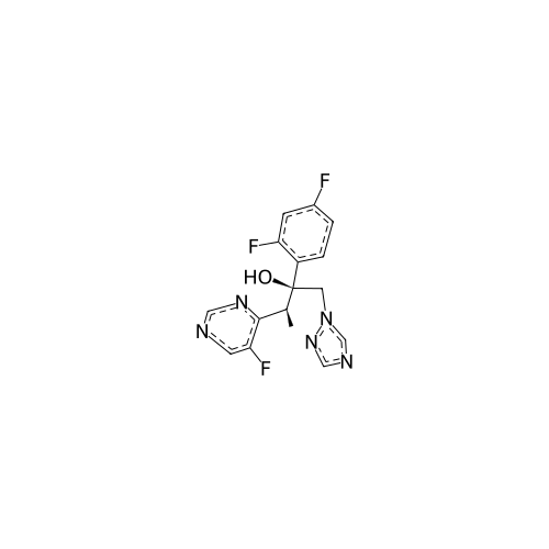 C[C@@H](c1ncncc1F)[C@@](O)(Cn1cncn1)c1ccc(F)cc1F